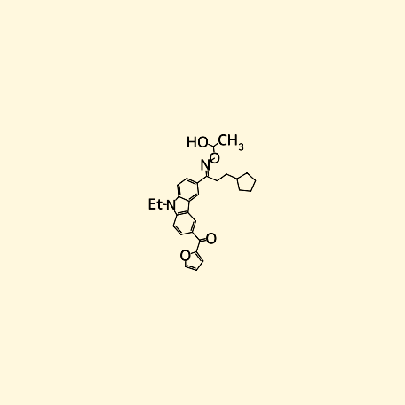 CCn1c2ccc(C(=O)c3ccco3)cc2c2cc(/C(CCC3CCCC3)=N/OC(C)O)ccc21